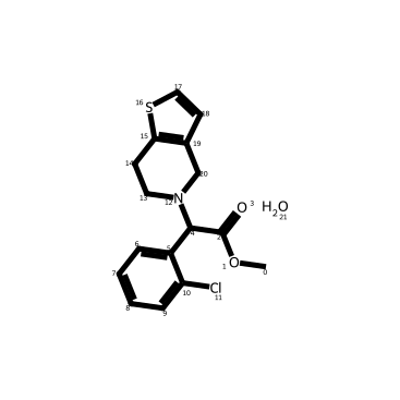 COC(=O)C(c1ccccc1Cl)N1CCc2sccc2C1.O